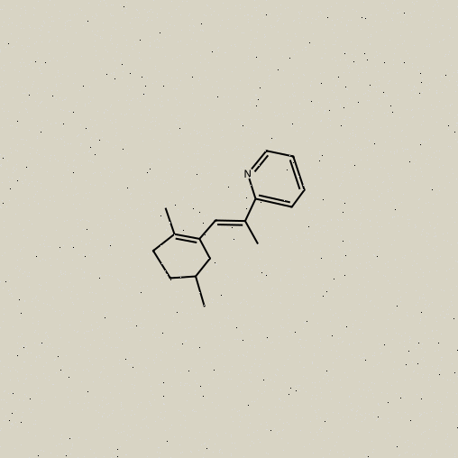 CC1=C(/C=C(\C)c2ccccn2)CC(C)CC1